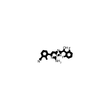 Cc1c(C#N)cccc1-c1cc2nc(C(O)c3c(F)cccc3F)nn2c(N)n1